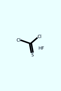 F.S=C(Cl)Cl